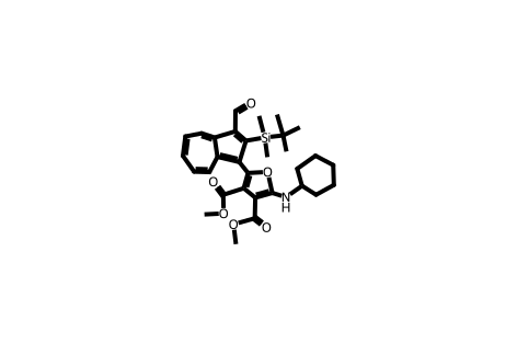 COC(=O)c1c(NC2CCCCC2)oc(-c2c3cccccc-3c(C=O)c2[Si](C)(C)C(C)(C)C)c1C(=O)OC